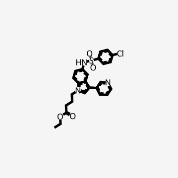 CCOC(=O)CCCn1cc(-c2cccnc2)c2cc(NS(=O)(=O)c3ccc(Cl)cc3)ccc21